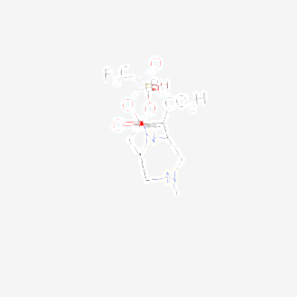 CN1CC2CC(OS(=O)(=O)C(F)(F)F)=C(C(=O)O)C(C1)N2C(=O)OC(C)(C)C